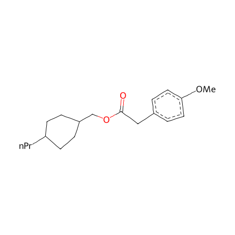 CCCC1CCC(COC(=O)Cc2ccc(OC)cc2)CC1